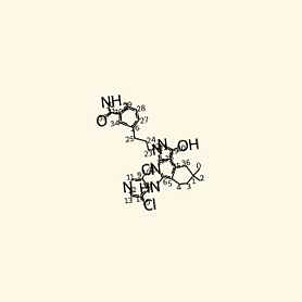 CC1(C)CCc2c(Nc3c(Cl)cncc3Cl)nc3c(c(O)nn3CCCc3cccc(C(N)=O)c3)c2C1